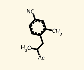 CC(=O)C(C)Cc1ccc(C#N)cc1C